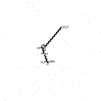 C=C(O)C(CCC(=O)NCCCC[C@@H](C)C(=O)OC)NC(=O)CCCCCCCCCCCCCCCCC(=O)O